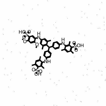 COc1cc(OC)c(S(=O)(=O)O)cc1Nc1cc(C)c(C(c2ccc(Nc3c(C)cc(C)c(S(=O)(=O)O)c3C)cc2)c2ccc(Nc3c(C)cc(C)c(S(=O)(=O)O)c3C)cc2)c(C)c1